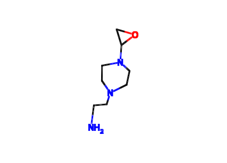 NCCN1CCN(C2CO2)CC1